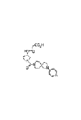 O=C(O)CC(=O)NC1CCN(C(=O)N2CCC3(CC2)CCN(c2ccncc2)C3)C1